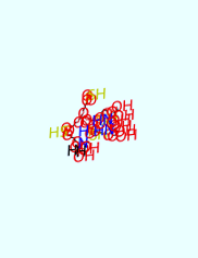 COP(=O)(S)OCCCCOCC(COCCCOP(=O)(S)OCCCCO[C@@H]1OC(CO)[C@H](O)C(O)C1NC(C)=O)(COCCCOP(=O)(S)OCCCCO[C@@H]1OC(CO)[C@H](O)C(O)C1NC(C)=O)COCCCOP(=O)(S)OCCCCO[C@@H]1O[C@@H]2CC(O)[C@@H]2C(O)C1NC(C)=O